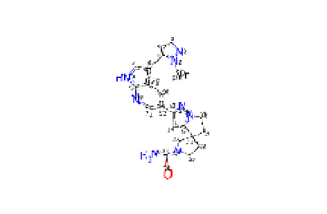 CC(C)n1nccc1-c1c[nH]c2ncc(-c3cc4n(n3)CCC43CCN(C(N)=O)C3)cc12